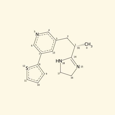 C[C@@H](Cc1cncc(-c2cccs2)c1)C1=NCCN1